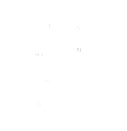 CC(COC=O)c1ncsc1I